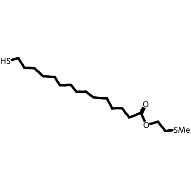 CSCCOC(=O)CCCCCCCCCCCCCCS